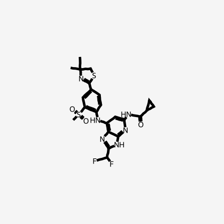 CC1(C)CSC(c2ccc(Nc3cc(NC(=O)C4CC4)nc4[nH]c(C(F)F)nc34)c(S(C)(=O)=O)c2)=N1